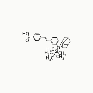 CC(C)(C)[Si](C)(C)Oc1cc(C=Cc2ccc(C(=O)O)cc2)ccc1C12CC3CC(CC(C3)C1)C2